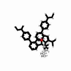 CCC(C)c1ccc(-c2cccc3c2C=C(C)[CH]3[Zr]([CH3])([CH3])(=[SiH2])[CH]2C(C(C)C)=Cc3c(-c4ccc(C(C)CC)cc4)cccc32)cc1.Cl.Cl